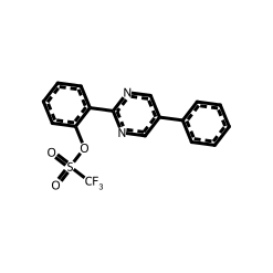 O=S(=O)(Oc1ccccc1-c1ncc(-c2ccccc2)cn1)C(F)(F)F